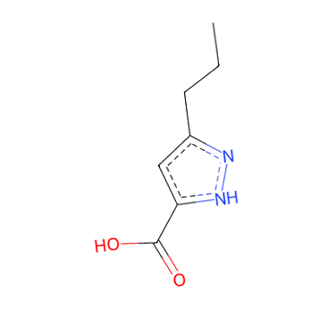 CCCc1cc(C(=O)O)[nH]n1